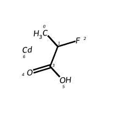 CC(F)C(=O)O.[Cd]